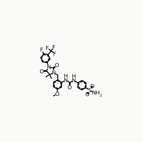 COc1ccc(CN2C(=O)N(c3ccc(F)c(C(F)(F)F)c3)C(=O)C2(C)C)c(NC(=O)Nc2ccc(S(N)(=O)=O)cc2)c1